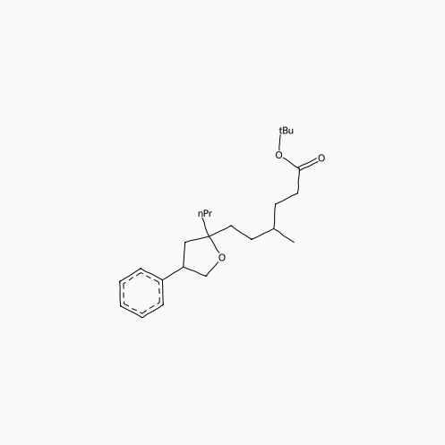 CCCC1(CCC(C)CCC(=O)OC(C)(C)C)CC(c2ccccc2)CO1